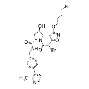 Cc1ncsc1-c1ccc(CNC(=O)[C@@H]2C[C@@H](O)CN2C(=O)C(c2cc(OCCCCBr)no2)C(C)C)cc1